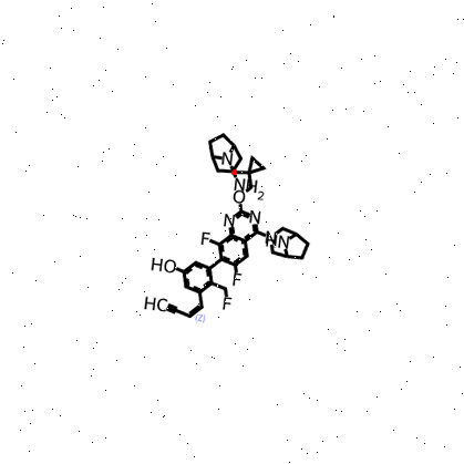 C#C/C=C\c1cc(O)cc(-c2c(F)cc3c(N4CC5CCC(C4)N5)nc(OCC4(CN5C6CCC5CC(N)C6)CC4)nc3c2F)c1CF